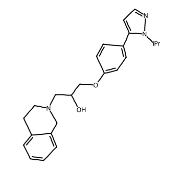 CC(C)n1nccc1-c1ccc(OCC(O)CN2CCc3ccccc3C2)cc1